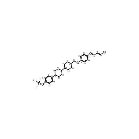 FC(F)(F)Oc1ccc(C2CCC(C3CCC(COc4ccc(OC/C=C/Cl)cc4)CC3)CC2)cc1